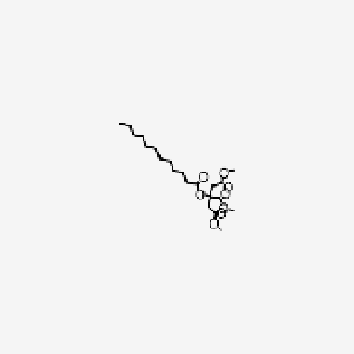 CCCCCCCCCCCC(=O)OC(CC(=O)OC)(CC(=O)OC)C(=O)OC